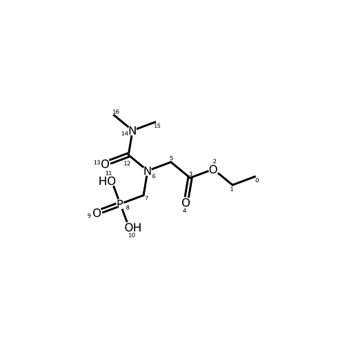 CCOC(=O)CN(CP(=O)(O)O)C(=O)N(C)C